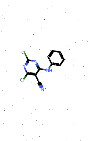 N#Cc1c(Cl)nc(Cl)nc1Nc1c[c]ccc1